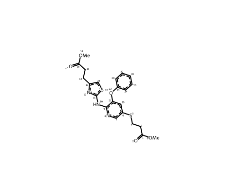 COC(=O)CCSc1cnc(Nc2nc(CCC(=O)OC)cs2)c(Oc2ccccc2)c1